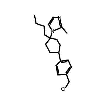 CCCCC1(n2ccnc2C)CCC(c2ccc(CCl)cc2)CC1